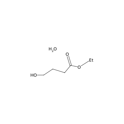 CCOC(=O)CCCO.O